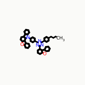 CCCCc1ccc(-c2nc(-c3ccc(-n4c5ccccc5c5ccc6oc7ccccc7c6c54)cc3)nc(-c3cccc4oc5ccccc5c34)n2)cc1